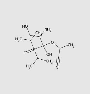 CC(C#N)OC(O)(C(N)CO)P(=O)(C(C)C)C(C)C